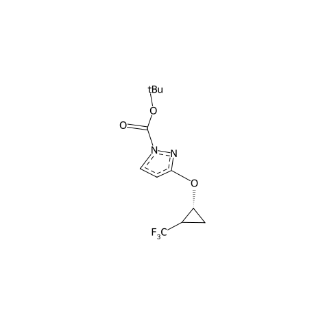 CC(C)(C)OC(=O)n1ccc(O[C@@H]2CC2C(F)(F)F)n1